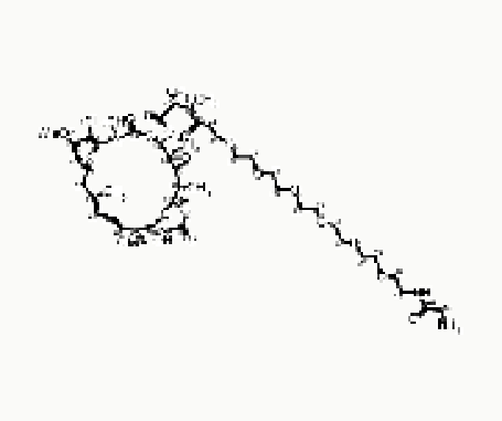 COc1cc2cc(c1Cl)N(C)C(=O)C[C@H](OC(=O)[C@H](C)N(C)C(=O)CCOCCOCCOCCOCCOCCOCCNC(=O)CN)[C@]1(C)OC1[C@H](C)[C@@H]1C[C@@](O)(NC(=O)O1)[C@H](OC)/C=C/C=C(\C)C2